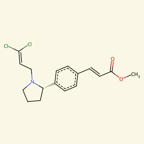 COC(=O)/C=C/c1ccc([C@@H]2CCCN2CC=C(Cl)Cl)cc1